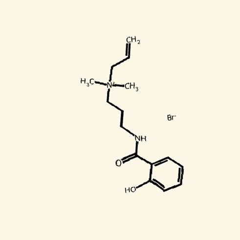 C=CC[N+](C)(C)CCCNC(=O)c1ccccc1O.[Br-]